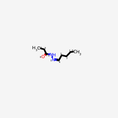 CCCC/C=N\NC(=O)CC